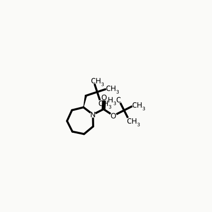 CC(C)(C)C[C@@H]1CCCCCN1C(=O)OC(C)(C)C